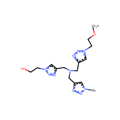 CC(C)(C)n1cc(CN(Cc2cn(CCO)nn2)Cc2cn(CCOS(=O)(=O)O)nn2)nn1